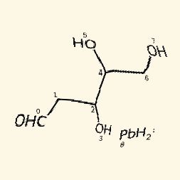 O=CCC(O)C(O)CO.[PbH2]